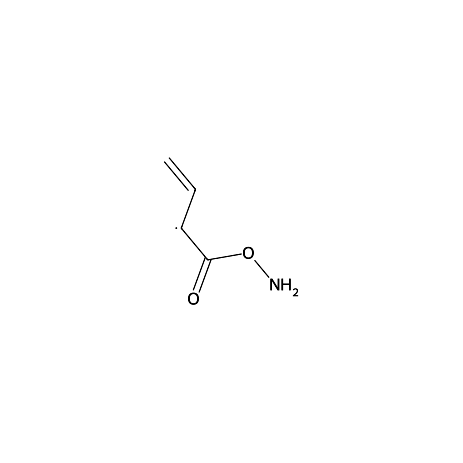 C=C[CH]C(=O)ON